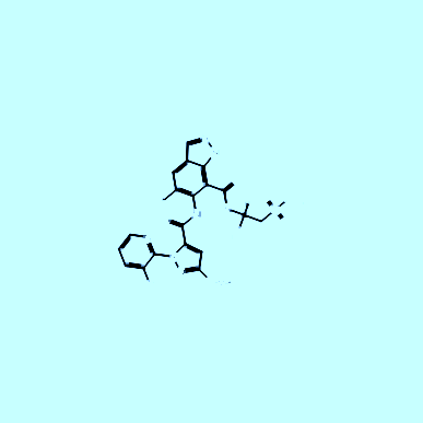 COc1cc(C(=O)Nc2c(Cl)cc3cn[nH]c3c2C(=O)NC(C)(C)CS(C)(=O)=O)n(-c2ncccc2Cl)n1